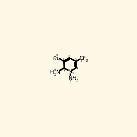 CCC1=CC(C(F)(F)F)=CN(N)C1N